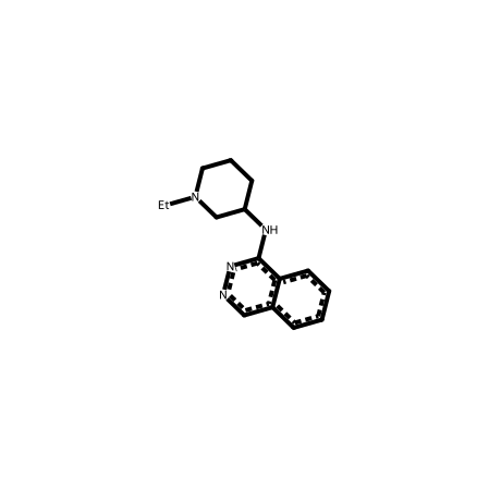 CCN1CCCC(Nc2nncc3ccccc23)C1